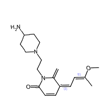 C=c1/c(=C\C=C(/C)OC)ccc(=O)n1CCN1CCC(N)CC1